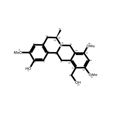 COc1cc2c(cc1O)C1Cc3c(CO)c(OC)cc(OC)c3CN1[C@H](C)C2